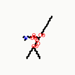 CCCCCCCCCCCCCC(=O)OCC(COC(=O)CC(=O)OC(CCCCCCCC)CCCCCCCC)COC(=O)OCCCN(CC)CC